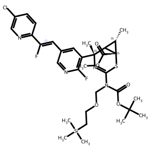 COC(=O)[C@@]12SC(N(COCC[Si](C)(C)C)C(=O)OC(C)(C)C)=N[C@](C)(c3cc(/C=C(\F)c4ccc(Cl)cn4)cnc3F)C1[C@@H]2C